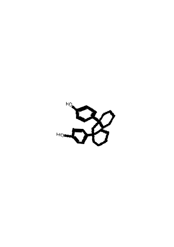 Oc1ccc(C2(CC3(c4ccc(O)cc4)CCCCC3)CCCCC2)cc1